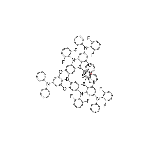 Fc1cccc(F)c1N(c1ccccc1)c1cc2c3c(c1)N(c1c(F)cccc1F)c1cc4c(cc1B3c1sc3ccccc3c1O2)B1c2cc3c(cc2Oc2cc(N(c5ccccc5)c5ccccc5)cc(c21)O4)N(c1c(F)cccc1F)c1cc(N(c2ccccc2)c2c(F)cccc2F)cc2c1B3c1sc3ccccc3c1S2